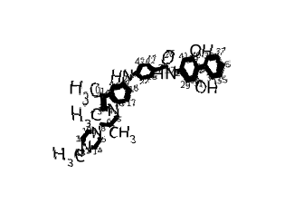 Cc1c(C)n(CC(C)CN2CCN(C)CC2)c2ccc(Nc3ccc(C(=O)Nc4cc(O)c(-c5ccccc5)c(O)c4)cc3)cc12